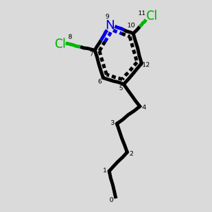 CCCCCc1cc(Cl)nc(Cl)c1